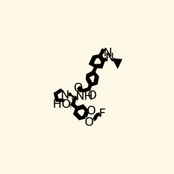 O=C(N[C@H](CN1CCCC1)[C@H](O)c1ccc2c(c1)OC(F)CO2)C(=O)c1ccc(-c2ccc3cnn(C4CC4)c3c2)cc1